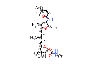 CCCNC(=O)OC1CC(C)(OC)CC(/C=C/C(C)=C/CC2OC(C)C(NC(=O)/C=C\C(C)OC(C)=O)CC2C)O1